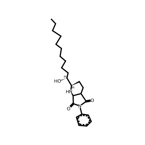 CCCCCCCCCC[C@@H](O)[C@H]1CCC2C(=O)N(c3ccccc3)C(=O)C2N1